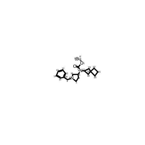 CC(C)(C)OC(=O)N(C1CCN(Cc2ccccc2)C1)C1CC2(CCC2)C1